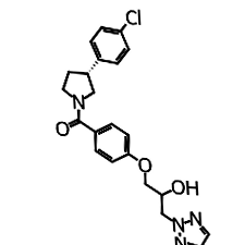 O=C(c1ccc(OCC(O)Cn2nccn2)cc1)N1CC[C@H](c2ccc(Cl)cc2)C1